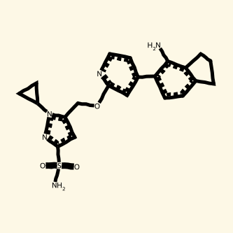 Nc1c(-c2ccnc(OCc3cc(S(N)(=O)=O)nn3C3CC3)c2)ccc2c1CCC2